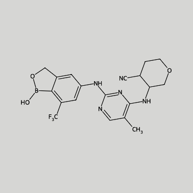 Cc1cnc(Nc2cc3c(c(C(F)(F)F)c2)B(O)OC3)nc1NC1COCCC1C#N